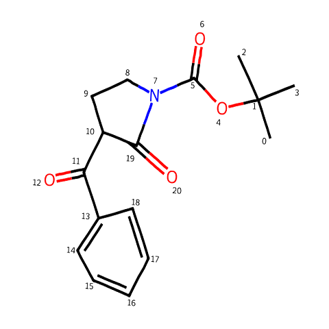 CC(C)(C)OC(=O)N1CCC(C(=O)c2ccccc2)C1=O